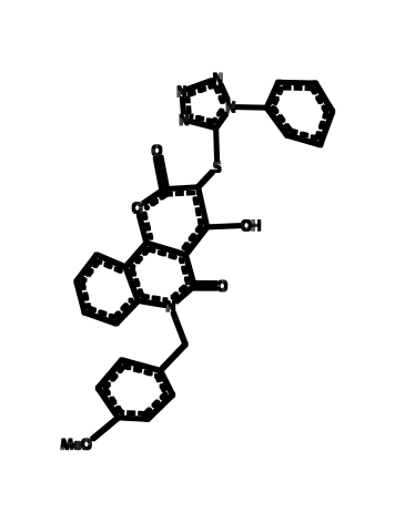 COc1ccc(Cn2c(=O)c3c(O)c(Sc4nnnn4-c4ccccc4)c(=O)oc3c3ccccc32)cc1